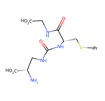 CC(C)SC[C@H](NC(=O)NC[C@H](N)C(=O)O)C(=O)NCC(=O)O